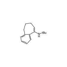 CC(C)(C)NC1=CCCCc2ccccc21